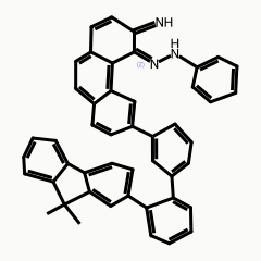 CC1(C)c2ccccc2-c2ccc(-c3ccccc3-c3cccc(-c4ccc5ccc6c(c5c4)/C(=N/Nc4ccccc4)C(=N)C=C6)c3)cc21